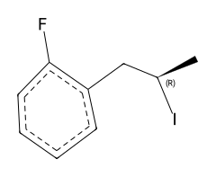 C[C@@H](I)Cc1ccccc1F